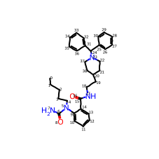 CCCCCN(C(N)=O)c1ccccc1C(=O)NCCC1CCN(C(c2ccccc2)c2ccccc2)CC1